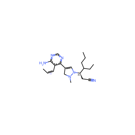 C/C=C\c1c(N)ncnc1C1=CN([C@H](CC#N)C(CC)CCC)N(C)C1